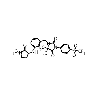 CN1CCC(Nc2cc(CN3C(=O)N(c4ccc(S(=O)(=O)C(F)(F)F)cc4)C(=O)C3(C)C)ccn2)C1=O